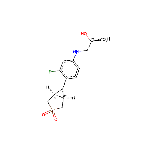 O=C(O)[C@H](O)CNc1ccc(C2[C@H]3CS(=O)(=O)C[C@@H]23)c(F)c1